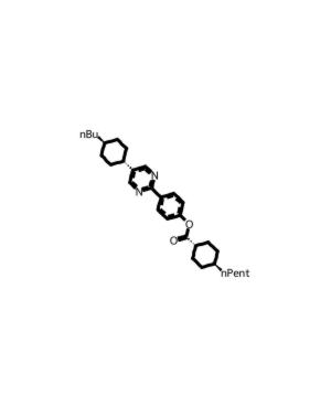 CCCCC[C@H]1CC[C@H](C(=O)Oc2ccc(-c3ncc([C@H]4CC[C@H](CCCC)CC4)cn3)cc2)CC1